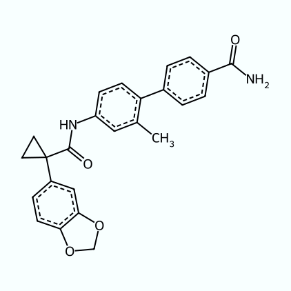 Cc1cc(NC(=O)C2(c3ccc4c(c3)OCO4)CC2)ccc1-c1ccc(C(N)=O)cc1